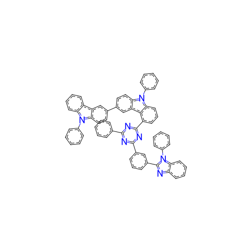 c1ccc(-c2nc(-c3cccc(-c4nc5ccccc5n4-c4ccccc4)c3)nc(-c3cccc4c3c3cc(-c5ccc6c(c5)c5ccccc5n6-c5ccccc5)ccc3n4-c3ccccc3)n2)cc1